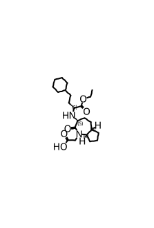 CCOC(=O)[C@H](CCC1CCCCC1)N[C@H]1CC[C@@H]2CCC[C@H]2N(CC(=O)O)C1=O